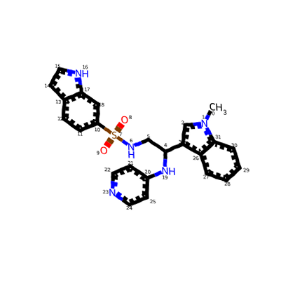 Cn1cc(C(CNS(=O)(=O)c2ccc3cc[nH]c3c2)Nc2ccncc2)c2ccccc21